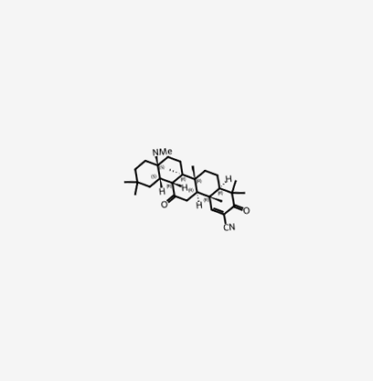 CN[C@]12CCC(C)(C)C[C@H]1[C@H]1C(=O)C[C@@H]3[C@@]4(C)C=C(C#N)C(=O)C(C)(C)[C@@H]4CC[C@@]3(C)[C@]1(C)CC2